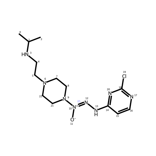 CC(C)NCCN1CCN(/[N+]([O-])=N/Nc2ccnc(Cl)n2)CC1